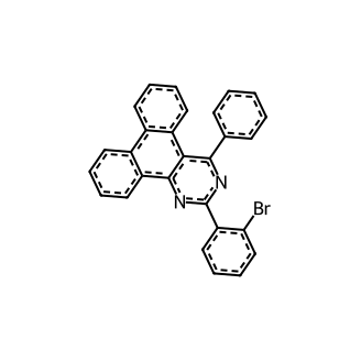 Brc1ccccc1-c1nc(-c2ccccc2)c2c3ccccc3c3ccccc3c2n1